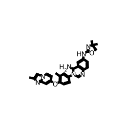 Cc1cn2ccc(Oc3ccc(N4C=Nc5ccc(NC6=NC(C)(C)CO6)cc5C4N)cc3C)cc2n1